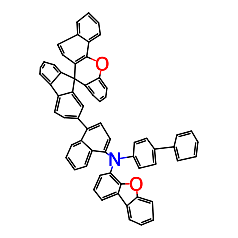 c1ccc(-c2ccc(N(c3ccc(-c4ccc5c(c4)C4(c6ccccc6Oc6c4ccc4ccccc64)c4ccccc4-5)c4ccccc34)c3cccc4c3oc3ccccc34)cc2)cc1